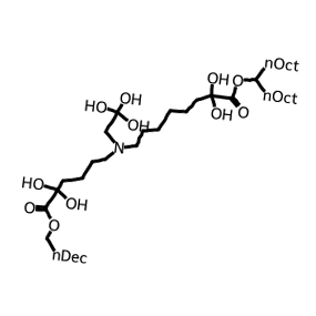 CCCCCCCCCCCOC(=O)C(O)(O)CCCCN(CCCCCCC(O)(O)C(=O)OC(CCCCCCCC)CCCCCCCC)CC(O)(O)O